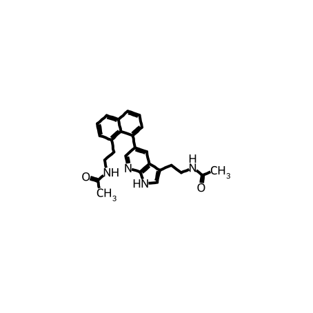 CC(=O)NCCc1c[nH]c2ncc(-c3cccc4cccc(CCNC(C)=O)c34)cc12